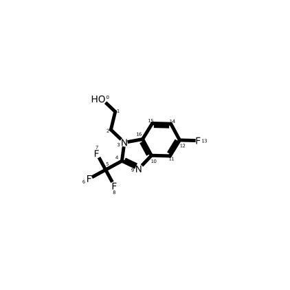 OCCn1c(C(F)(F)F)nc2cc(F)ccc21